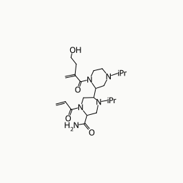 C=CC(=O)N1CC(C2CN(C(C)C)CCN2C(=O)C(=C)CCO)N(C(C)C)CC1C(N)=O